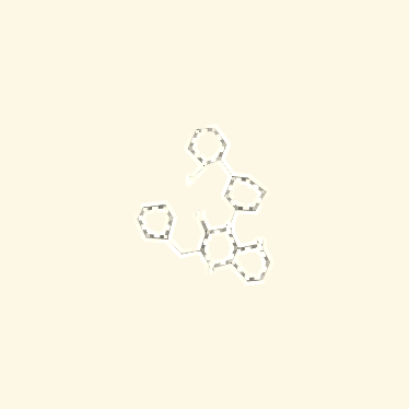 O=c1c(Cc2ccccc2)nc2cccnc2n1-c1cccc(-c2ccccc2F)c1